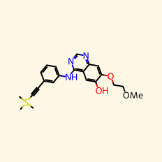 COCCOc1cc2ncnc(Nc3cccc(C#CS(C)(C)C)c3)c2cc1O